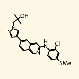 CSc1ccc(Nc2cc3cc(-c4cnn(CC(C)(C)O)c4)ccc3cn2)c(Cl)c1